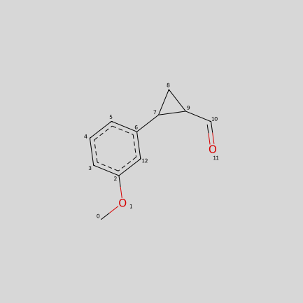 COc1cccc(C2CC2C=O)c1